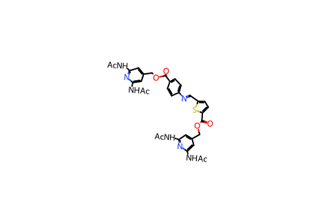 CC(=O)Nc1cc(COC(=O)c2ccc(/N=C/c3ccc(C(=O)OCc4cc(NC(C)=O)nc(NC(C)=O)c4)s3)cc2)cc(NC(C)=O)n1